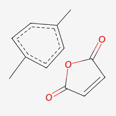 Cc1ccc(C)cc1.O=C1C=CC(=O)O1